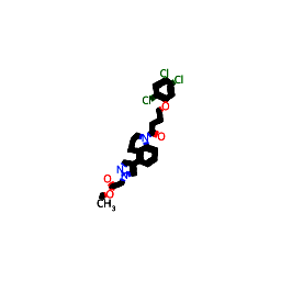 CCOC(=O)Cn1cc(-c2cccc3c2CCCN3C(=O)CCCOc2cc(Cl)c(Cl)cc2Cl)cn1